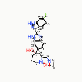 ON1CCCC(O)(c2ccc3nc(-c4n[nH]c5cc(F)ccc45)[nH]c3c2)CC1CN1CCC1